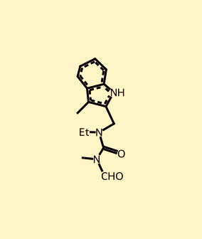 CCN(Cc1[nH]c2ccccc2c1C)C(=O)N(C)C=O